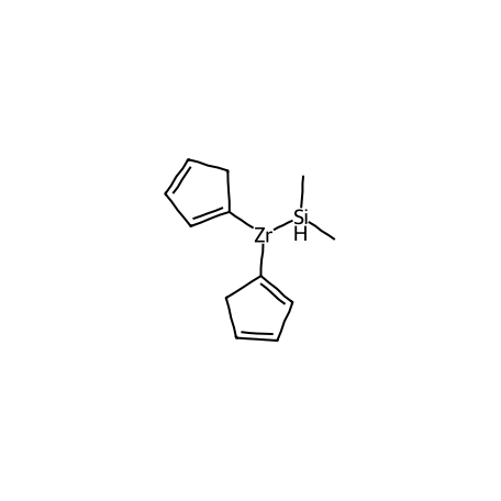 C[SiH](C)[Zr]([C]1=CC=CC1)[C]1=CC=CC1